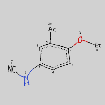 CCOc1ccc(NC#N)cc1C(C)=O